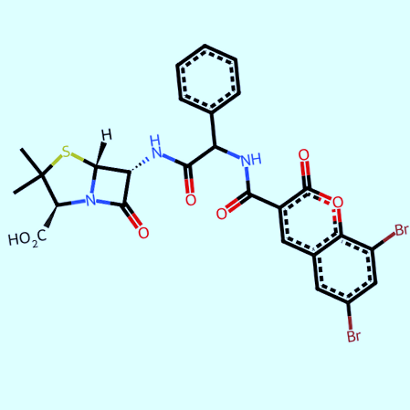 CC1(C)S[C@@H]2[C@H](NC(=O)C(NC(=O)c3cc4cc(Br)cc(Br)c4oc3=O)c3ccccc3)C(=O)N2[C@H]1C(=O)O